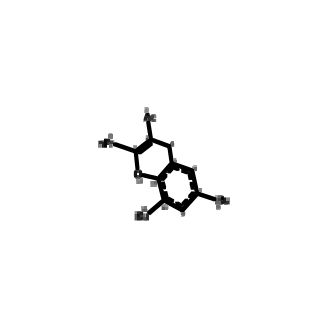 CCCC1=C(C(C)=O)Cc2cc(C(C)CC)cc(C(C)CC)c2O1